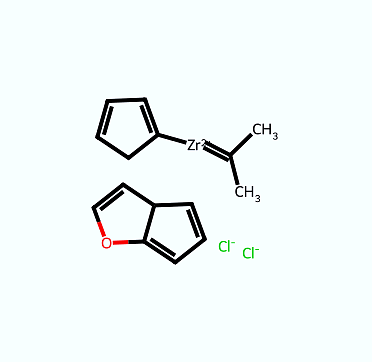 C1=CC2C=COC2=C1.C[C](C)=[Zr+2][C]1=CC=CC1.[Cl-].[Cl-]